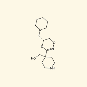 OCC1(C2=NOC[C@@H](CN3CCCCC3)O2)CCNCC1